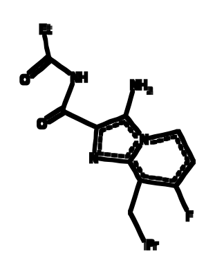 CCC(=O)NC(=O)c1nc2c(CC(C)C)c(F)ccn2c1N